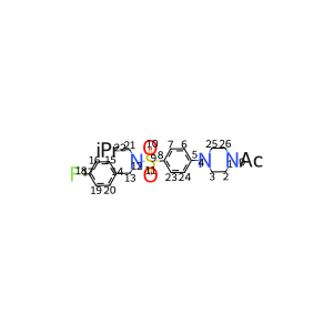 CC(=O)N1CCN(c2ccc(S(=O)(=O)N(Cc3ccc(F)cc3)CC(C)C)cc2)CC1